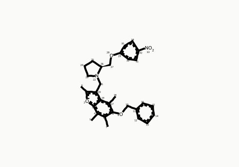 Cc1oc2c(C)c(C)c(OCc3ccccc3)c(C)c2c1CN1CCC[C@H]1COc1ccc([N+](=O)[O-])cc1